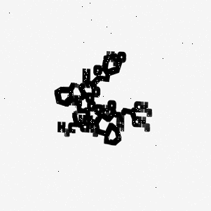 CC(C)CNC(=O)CC(O)C(CC1CCCCC1)NC(=O)[C@H](CC(C)C)NC(=O)[C@H](Cc1ccccc1)NC(=O)C1Cc2ccccc2O1.O